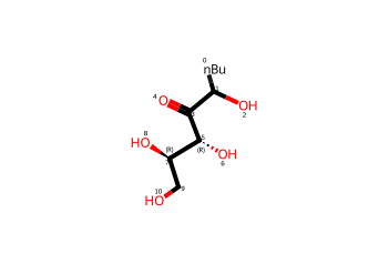 CCCCC(O)C(=O)[C@H](O)[C@H](O)CO